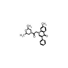 Cc1ccc2c(=O)c(-c3ccccc3)cn(CC(=O)N3CC(C)OC(C)C3)c2c1